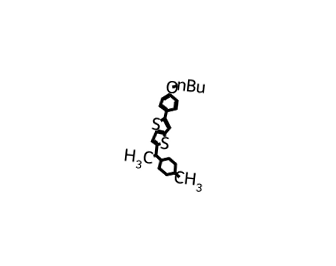 CCCCOc1ccc(-c2cc3sc(C(C)C4CCC(C)CC4)cc3s2)cc1